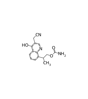 CC(COC(N)=O)c1cccc2c(O)c(CC#N)cnc12